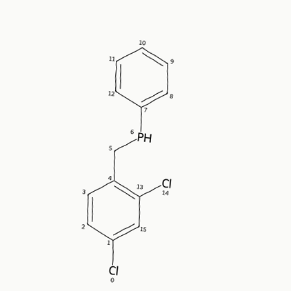 Clc1ccc(CPc2ccccc2)c(Cl)c1